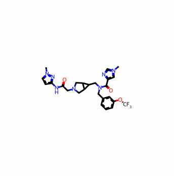 Cn1cnc(C(=O)N(Cc2cccc(OC(F)(F)F)c2)CC2C3CN(CC(=O)Nc4ccn(C)n4)CC32)c1